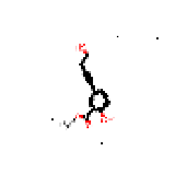 COC(=O)c1cc(C#CCCO)ccc1O